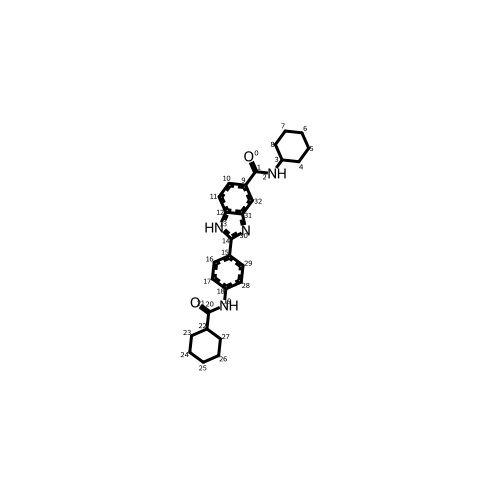 O=C(NC1CCCCC1)c1ccc2[nH]c(-c3ccc(NC(=O)C4CCCCC4)cc3)nc2c1